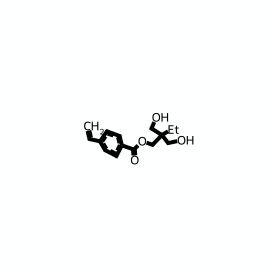 C=Cc1ccc(C(=O)OCC(CC)(CO)CO)cc1